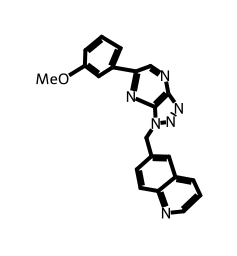 COc1cccc(-c2cnc3nnn(Cc4ccc5ncccc5c4)c3n2)c1